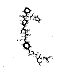 CC(C)CC(NC(=O)[C@@H]1CC(c2ccc([C@H](O)CNC(=O)[C@@H]3CCC(c4ccc(C(O)C(NC(=O)[C@@H]5CCCN5)c5ccccc5)cc4)N3)cc2)CN1)C(=O)NCC(N)=O